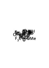 COc1cc(C(=O)NCC(c2cc(C(C)(C)NC(=O)OC(C)(C)C)cc(-c3ccc(F)c(Cl)c3)n2)C(F)(F)F)ccc1COCn1nn[nH]c1=O